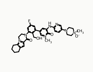 Cn1cc(-c2cc(F)cc(N3CCn4c(cc5c4CCCC5)C3=O)c2CO)cc(Nc2ccc(N3CC[N+](C)([O-])CC3)cn2)c1=O